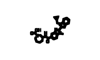 Cn1c(-c2cc3ccccc3n2CC2CC2)nc2cc(C(=O)NC3CCCCN(C(=O)O)C3)ccc21